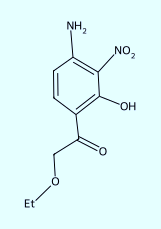 CCOCC(=O)c1ccc(N)c([N+](=O)[O-])c1O